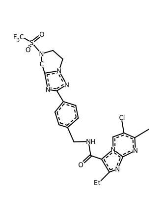 CCc1nc2nc(C)c(Cl)cn2c1C(=O)NCc1ccc(-c2nc3n(n2)CCN(S(=O)(=O)C(F)(F)F)C3)cc1